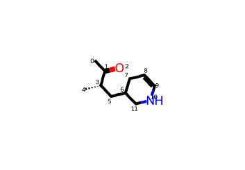 CC(=O)[C@@H](C)CC1CC=CNC1